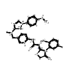 CCCc1ccc(C)cc1N1C(=O)CS/C1=N\C(=O)Nc1ccc(CN(C)C2N=CN(c3ccc(OC(F)(F)F)cc3)N2)cn1